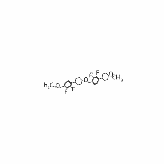 CCOCc1ccc(C2CCC(OCc3ccc(C4CCC(OC)CC4)c(F)c3F)CC2)c(F)c1F